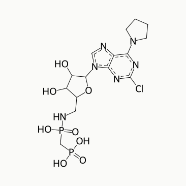 O=P(O)(O)CP(=O)(O)NCC1OC(n2cnc3c(N4CCCC4)nc(Cl)nc32)C(O)C1O